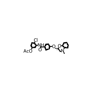 CC(=O)Oc1ccc(Cl)c(NC(=O)c2ccc(OC[C@@H]3CN(C)c4ccccc4O3)cc2)c1